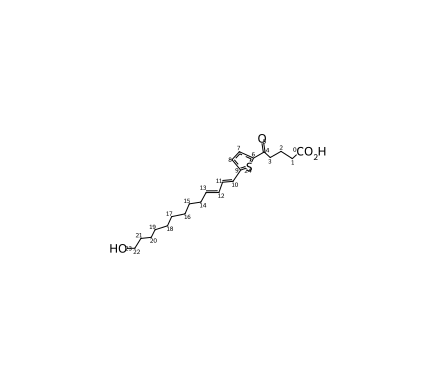 O=C(O)CCCC(=O)c1ccc(/C=C/C=C/CCCCCCCCCO)s1